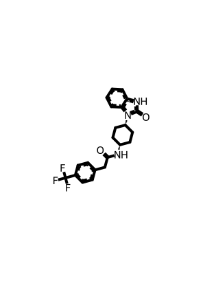 O=C(Cc1ccc(C(F)(F)F)cc1)N[C@H]1CC[C@@H](n2c(=O)[nH]c3ccccc32)CC1